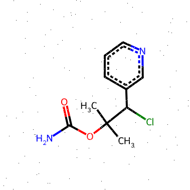 CC(C)(OC(N)=O)C(Cl)c1cccnc1